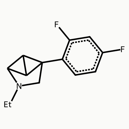 CCN1CC2(c3ccc(F)cc3F)C3C1C32